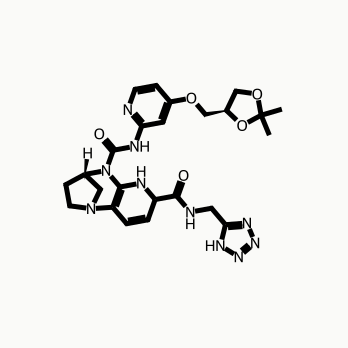 CC1(C)OC[C@H](COc2ccnc(NC(=O)N3C4=C(C=CC(C(=O)NCc5nnn[nH]5)N4)N4CC[C@H]3C4)c2)O1